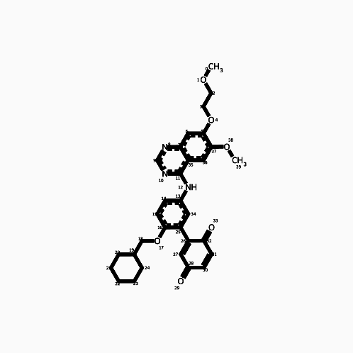 COCCOc1cc2ncnc(Nc3ccc(OCC4CCCCC4)c(C4=CC(=O)C=CC4=O)c3)c2cc1OC